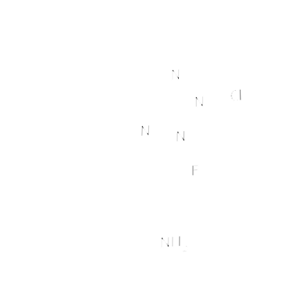 NCc1ccccc1N1C=NN(Cl)N1F